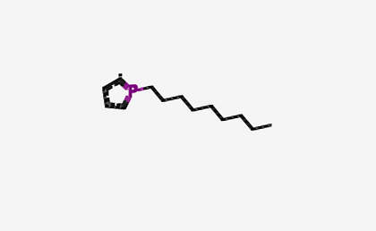 CCCCCCCCCp1[c]ccc1